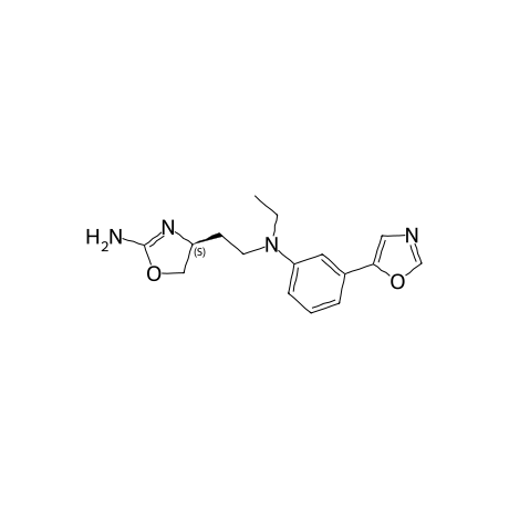 CCN(CC[C@H]1COC(N)=N1)c1cccc(-c2cnco2)c1